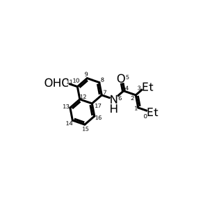 CCC=C(CC)C(=O)Nc1ccc(C=O)c2ccccc12